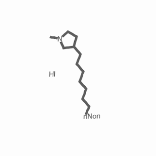 CCCCCCCCCCCCCCCCC1CCN(C)C1.I